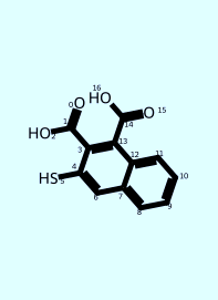 O=C(O)c1c(S)cc2ccccc2c1C(=O)O